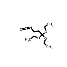 CCOC(CCN=C=O)(OCC)OCC